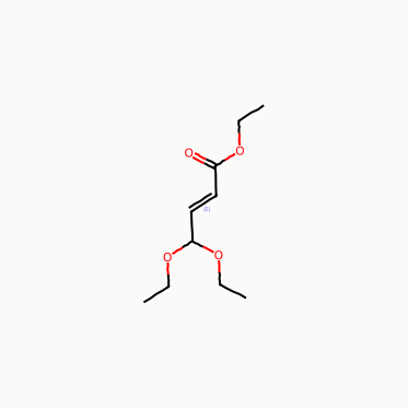 CCOC(=O)/C=C/C(OCC)OCC